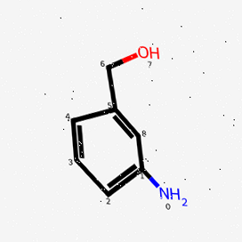 Nc1cc[c]c(CO)c1